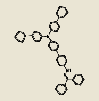 c1ccc(C(=NNc2ccc(-c3ccc(N(c4ccc(-c5ccccc5)cc4)c4ccc(-c5ccccc5)cc4)cc3)cc2)c2ccccc2)cc1